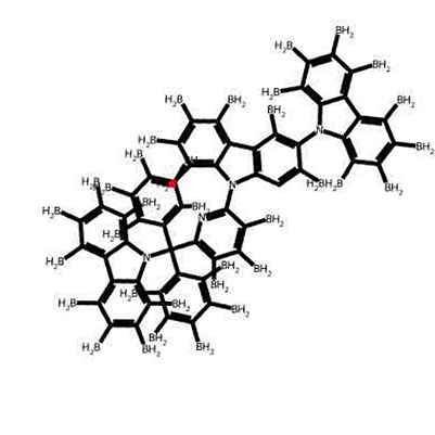 Bc1cc2c(c(B)c1-n1c3c(B)c(B)c(B)c(B)c3c3c(B)c(B)c(B)c(B)c31)c1c(B)c(B)c(B)c(B)c1n2-c1nc(C(c2c(B)c(B)c(B)c(B)c2B)(c2c(B)c(B)c(B)c(B)c2B)n2c3c(B)c(B)c(B)c(B)c3c3c(B)c(B)c(B)c(B)c32)c(B)c(B)c1B